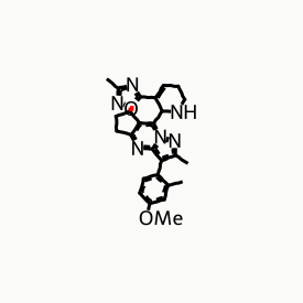 COc1ccc(-c2c(C)nn3c(C4NCCC=C4c4nc(C)no4)c4c(nc23)CCC4)c(C)c1